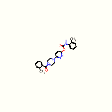 Cc1ccccc1NC(=O)Oc1ccc(N2CCN(C(=O)c3ccccc3C(F)(F)F)CC2)nn1